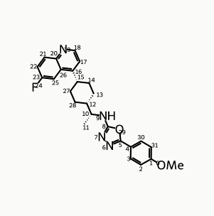 COc1ccc(-c2nnc(N[C@H](C)[C@H]3CC[C@@H](c4ccnc5ccc(F)cc54)CC3)o2)cc1